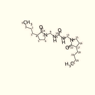 CCCCC1CCN(CNC(=O)NCN2CCC(CCCC)C2=O)C1=O